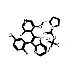 CC(C)(C)OC(=O)N1CCC[C@H]1COc1cncc(F)c1-c1[nH]c2cccnc2c1-c1cc(Cl)ccc1F